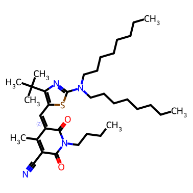 CCCCCCCCN(CCCCCCCC)c1nc(C(C)(C)C)c(/C=C2\C(=O)N(CCCC)C(=O)C(C#N)=C2C)s1